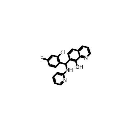 Oc1c(C(Nc2ccccn2)c2ccc(F)cc2Cl)ccc2cccnc12